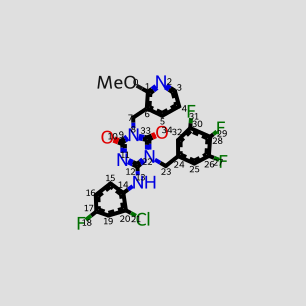 COc1ncccc1Cn1c(=O)nc(Nc2ccc(F)cc2Cl)n(Cc2cc(F)c(F)c(F)c2)c1=O